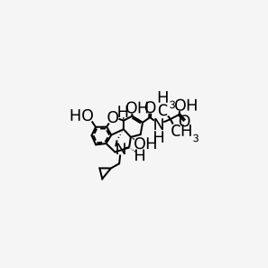 CC(C)(NC(=O)C1=C(O)[C@@H]2Oc3c(O)ccc4c3[C@@]23CCN(CC2CC2)[C@H](C4)[C@]3(O)C1)C(=O)O